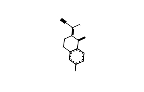 C=C1/C(=C(\C)C#N)CCc2cc(O)ccc21